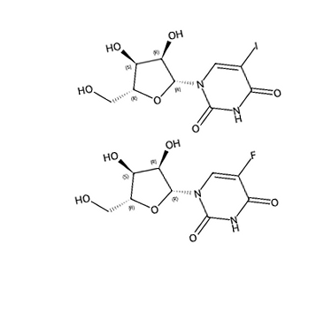 O=c1[nH]c(=O)n([C@@H]2O[C@H](CO)[C@@H](O)[C@H]2O)cc1F.O=c1[nH]c(=O)n([C@@H]2O[C@H](CO)[C@@H](O)[C@H]2O)cc1I